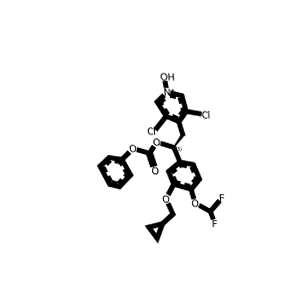 O=C(Oc1ccccc1)O[C@@H](Cc1c(Cl)c[n+](O)cc1Cl)c1ccc(OC(F)F)c(OCC2CC2)c1